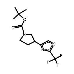 CC(C)(C)OC(=O)N1CCC(c2csc(C(F)(F)F)n2)C1